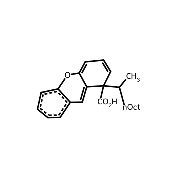 CCCCCCCCC(C)C1(C(=O)O)C=CC=C2Oc3ccccc3C=C21